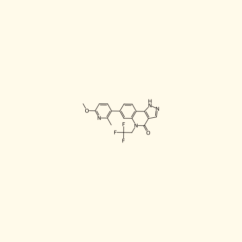 COc1ccc(-c2ccc3c4[nH]ncc4c(=O)n(CC(F)(F)F)c3c2)c(C)n1